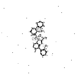 Cc1ccc2c(c1-c1ccccc1C(C)C)C=C(C(C)C)[CH]2[Zr]([Cl])([Cl])[c]1cccc2c1[SiH2]c1ccccc1-2